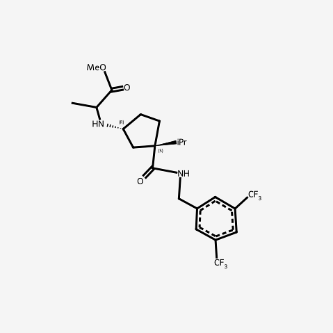 COC(=O)C(C)N[C@@H]1CC[C@@](C(=O)NCc2cc(C(F)(F)F)cc(C(F)(F)F)c2)(C(C)C)C1